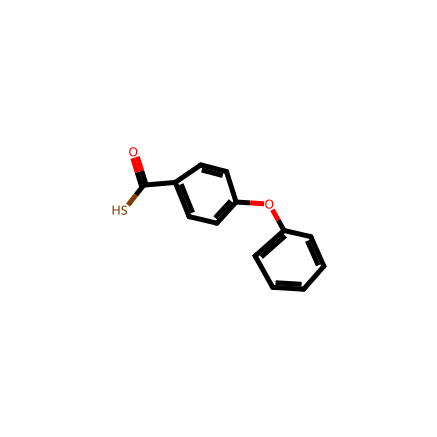 O=C(S)c1ccc(Oc2ccccc2)cc1